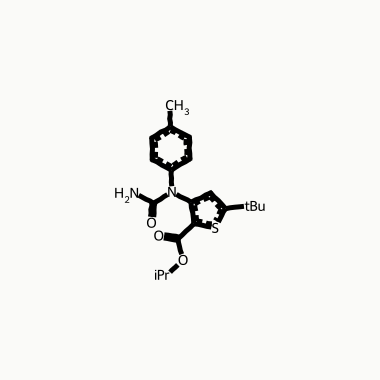 Cc1ccc(N(C(N)=O)c2cc(C(C)(C)C)sc2C(=O)OC(C)C)cc1